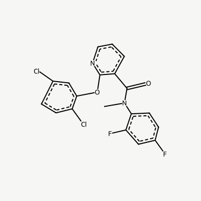 CN(C(=O)c1cccnc1Oc1cc(Cl)ccc1Cl)c1ccc(F)cc1F